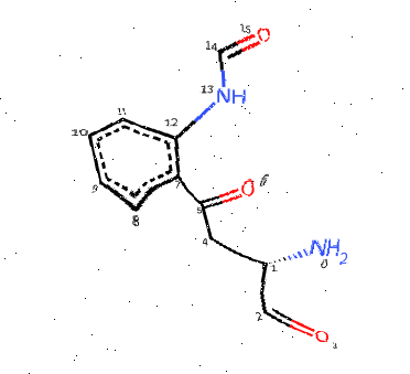 N[C@H](C=O)CC(=O)c1ccccc1NC=O